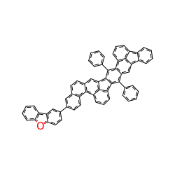 c1ccc(-c2c3cc4c5ccccc5c5cccc(c3c(-c3ccccc3)c3c6cc7ccc8cc(-c9ccc%10oc%11ccccc%11c%10c9)ccc8c7c7cccc(c23)c67)c54)cc1